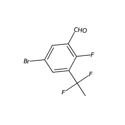 CC(F)(F)c1cc(Br)cc(C=O)c1F